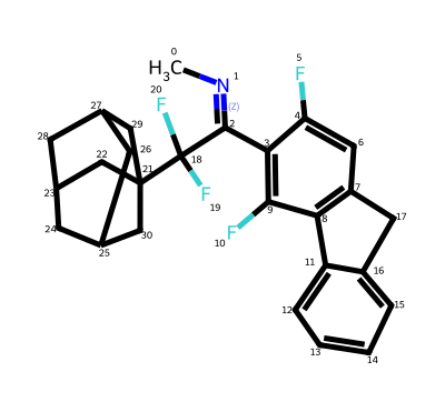 C/N=C(/c1c(F)cc2c(c1F)-c1ccccc1C2)C(F)(F)C12CC3CC(CC(C3)C1)C2